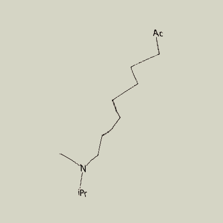 CC(=O)CCCCCCCN(C)C(C)C